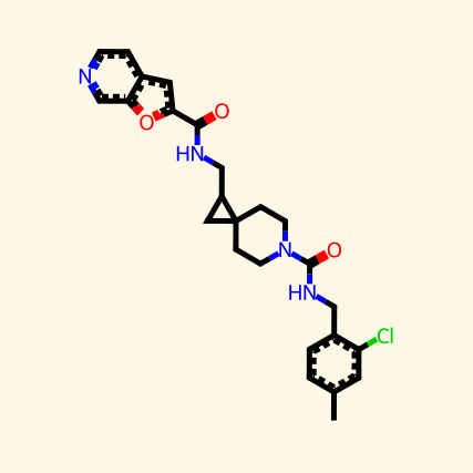 Cc1ccc(CNC(=O)N2CCC3(CC2)CC3CNC(=O)c2cc3ccncc3o2)c(Cl)c1